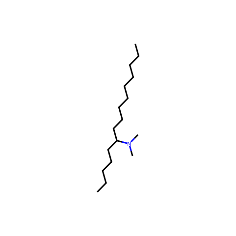 CCCCCCCCCC(CCCCC)N(C)C